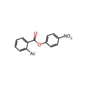 CC(=O)c1ccccc1C(=O)Oc1ccc([N+](=O)[O-])cc1